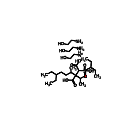 CCC(CC)CCC(C)C(C(=O)O)(C(C)CCC(CC)CC)C(C(=O)O)S(=O)(=O)O.NCCO.NCCO.NCCO